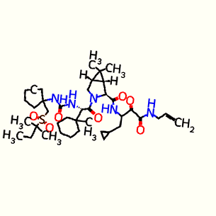 C=CCNC(=O)C(=O)C(CC1CC1)NC(=O)[C@@H]1[C@@H]2[C@H](CN1C(=O)[C@@H](NC(=O)NC1(CS(=O)(=O)C(C)(C)CC)CCCCC1)C1(C)CCCCC1)C2(C)C